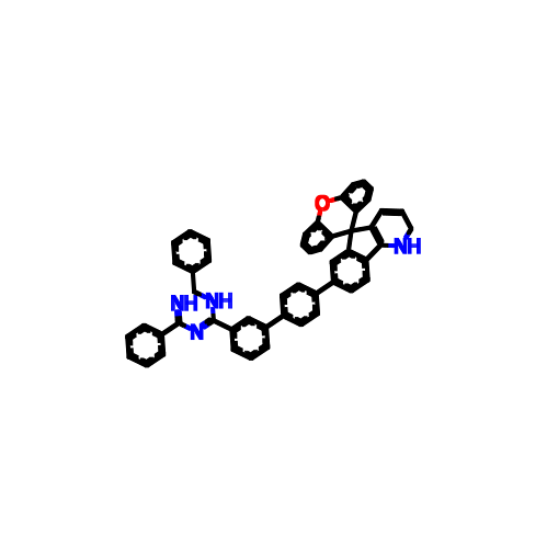 N=C(/N=C(\NCc1ccccc1)c1cccc(-c2ccc(-c3ccc4c(c3)C3(C5=C4NCC=C5)c4ccccc4Oc4ccccc43)cc2)c1)c1ccccc1